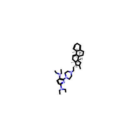 CCN(CC)c1ccc(N(CC)CC)c(N2CCN(CC[C@H]3C(C)C[C@H]4[C@@H]5CCC6=CCC=C[C@]6(C)C5=CC[C@]34C)CC2)n1